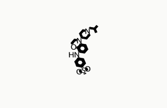 C[C](C)CN1CCC(N2CCOc3c(Nc4ccc(S(C)(=O)=O)cc4)cccc32)CC1